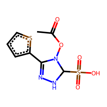 CC(=O)ON1C(c2cccs2)=NNC1S(=O)(=O)O